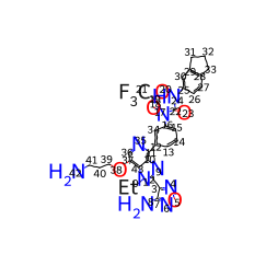 CCn1c(-c2nonc2N)nc2c(-c3cccc(N(OC(=O)C(F)(F)F)C(=O)Nc4ccc5c(c4)CCC5)c3)ncc(OCCCN)c21